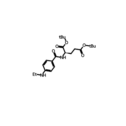 CCNc1ccc(C(=O)N[C@H](CCC(=O)OC(C)(C)C)C(=O)OC(C)(C)C)cc1